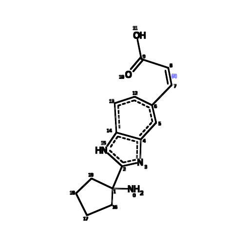 NC1(c2nc3cc(/C=C\C(=O)O)ccc3[nH]2)CCCC1